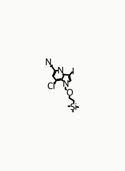 C[Si](C)(C)CCOCn1cc(I)c2nc(C#N)cc(Cl)c21